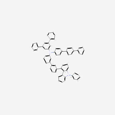 c1ccc(-c2ccc(-c3ccc(N(c4cccc(-c5cccc(-c6cccc7c6c6ccccc6n7-c6ccccc6)c5)c4)c4cc(-c5ccccc5)cc(-c5ccccc5)c4)cc3)cc2)cc1